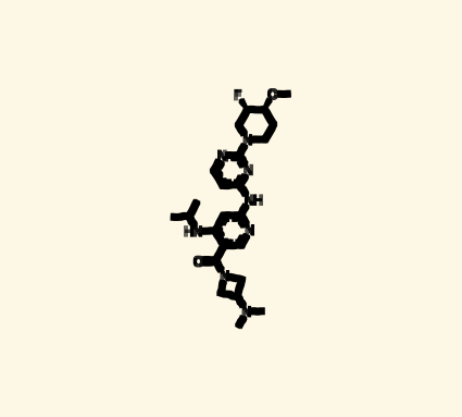 CO[C@H]1CCN(c2nccc(Nc3cc(NC(C)C)c(C(=O)N4CC(N(C)C)C4)cn3)n2)C[C@H]1F